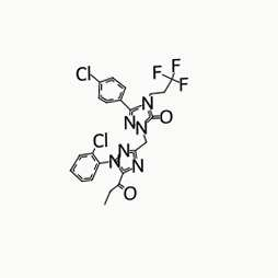 CCC(=O)c1nc(Cn2nc(-c3ccc(Cl)cc3)n(CCC(F)(F)F)c2=O)nn1-c1ccccc1Cl